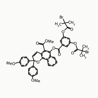 COC(=O)c1c2c(c3ccccc3c1OC(=O)c1cc(OC(=O)C(C)(C)Br)cc(OC(=O)C(C)(C)Br)c1)OC(c1ccc(OC)cc1)(c1ccc(OC)cc1)C=C2